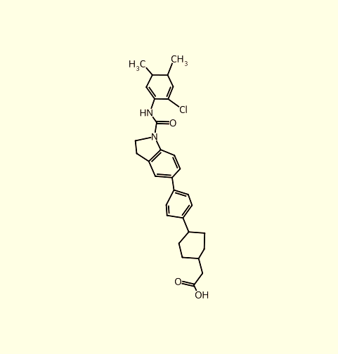 CC1C=C(Cl)C(NC(=O)N2CCc3cc(-c4ccc(C5CCC(CC(=O)O)CC5)cc4)ccc32)=CC1C